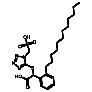 CCCCCCCCCCCCc1ccccc1C(Sc1nnnn1CS(=O)(=O)O)C(=O)O